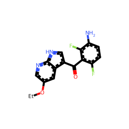 CCOc1cnc2[nH]cc(C(=O)c3c(F)ccc(N)c3F)c2c1